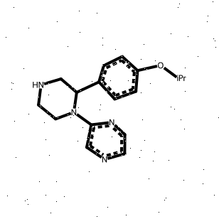 CC(C)Oc1ccc(C2CNCCN2c2cnccn2)cc1